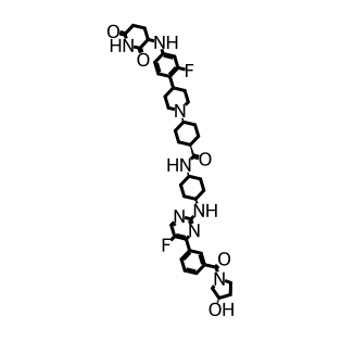 O=C1CCC(Nc2ccc(C3CCN([C@H]4CC[C@H](C(=O)N[C@H]5CC[C@H](Nc6ncc(F)c(-c7cccc(C(=O)N8CC[C@H](O)C8)c7)n6)CC5)CC4)CC3)c(F)c2)C(=O)N1